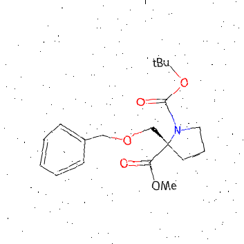 COC(=O)[C@@]1(COCc2ccccc2)CCCN1C(=O)OC(C)(C)C